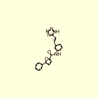 O=C(Nc1cccc(/C=C/c2nnn[nH]2)c1)c1ccc(-c2ccccc2)o1